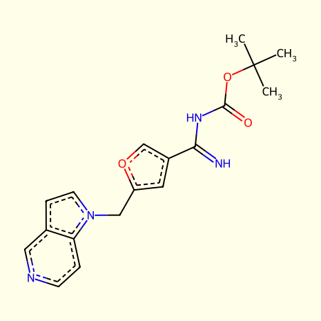 CC(C)(C)OC(=O)NC(=N)c1coc(Cn2ccc3cnccc32)c1